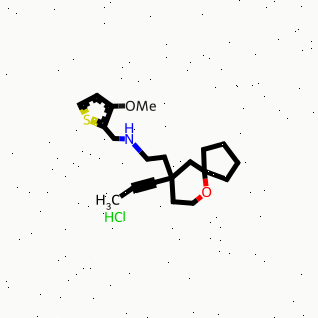 CC#CC1(CCNCc2sccc2OC)CCOC2(CCCC2)C1.Cl